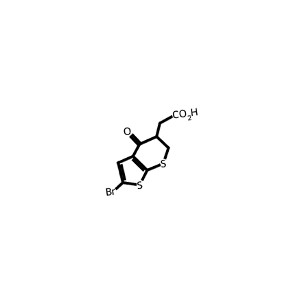 O=C(O)CC1CSc2sc(Br)cc2C1=O